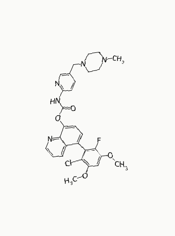 COc1cc(OC)c(Cl)c(-c2ccc(OC(=O)Nc3ccc(CN4CCN(C)CC4)cn3)c3ncccc23)c1F